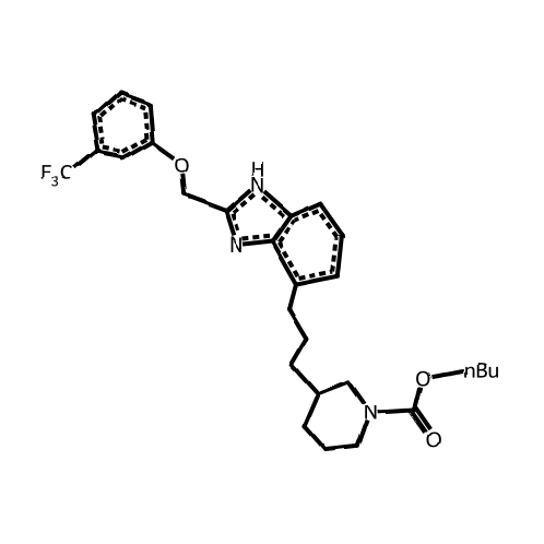 CCCCOC(=O)N1CCCC(CCCc2cccc3[nH]c(COc4cccc(C(F)(F)F)c4)nc23)C1